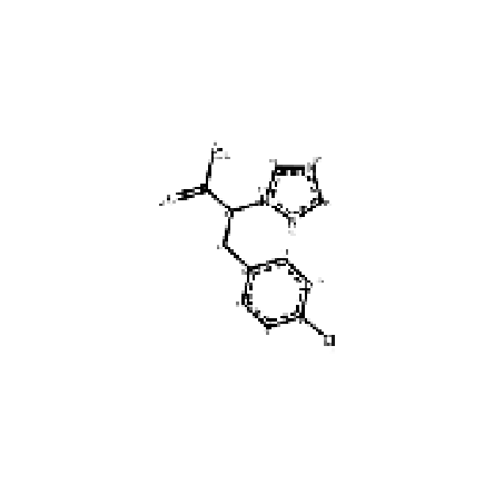 CC(C)(C)C(=O)C(Cc1ccc(Cl)nc1)n1cncn1